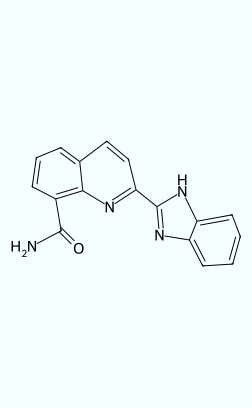 NC(=O)c1cccc2ccc(-c3nc4ccccc4[nH]3)nc12